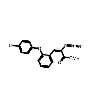 COC(=O)/C(=C\c1ccccc1Oc1ccc(Cl)cc1)N=[N+]=[N-]